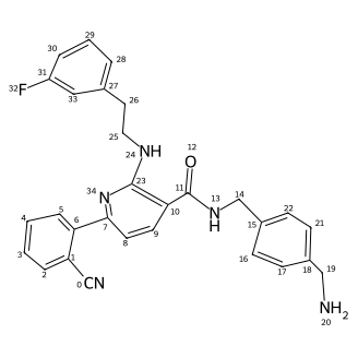 N#Cc1ccccc1-c1ccc(C(=O)NCc2ccc(CN)cc2)c(NCCc2cccc(F)c2)n1